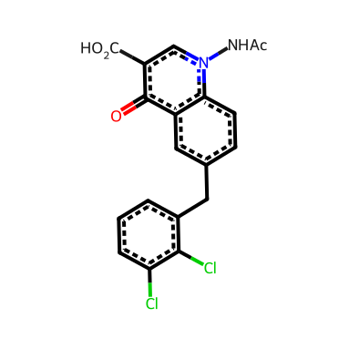 CC(=O)Nn1cc(C(=O)O)c(=O)c2cc(Cc3cccc(Cl)c3Cl)ccc21